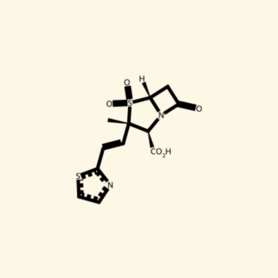 C[C@]1(C=Cc2nccs2)[C@H](C(=O)O)N2C(=O)C[C@H]2S1(=O)=O